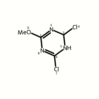 COC1=NC(Cl)NC(Cl)=N1